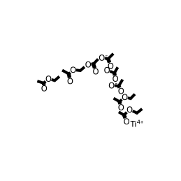 CC(=O)[O-].CC(=O)[O-].CC(=O)[O-].CC(=O)[O-].CCOC(C)=O.CCOC(C)=O.CCOC(C)=O.CCOC(C)=O.[Ti+4]